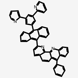 c1ccc(-c2c3ccccc3nc3c2ccc2ccc(-c4c5ccccc5c(-c5cc(-c6ccccn6)cc(-c6ccccn6)c5)c5ccccc45)nc23)cc1